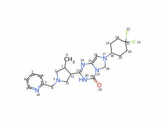 CC1CN(Cc2ccccn2)CC1C1=NC2=CN(C3CCC(F)(F)CC3)CN2C(=O)N1